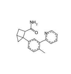 Cc1ccc(C23CC2CC3C(N)=O)cc1-c1ccccn1